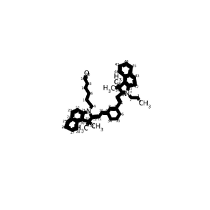 CCC[N+]1=C(/C=C/C2=CC(=C/C=C3\N(CCCCCC=O)c4ccc5ccccc5c4C3(C)C)/CCC2)C(C)(C)c2c1ccc1ccccc21